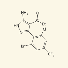 CC[S+]([O-])c1c(-c2c(Cl)cc(C(F)(F)F)cc2Br)n[nH]c1N